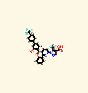 COc1cc(-c2ccc(C(F)(F)F)cc2)ccc1COc1ccccc1-c1cccc(-n2ncc(C(=O)O)c2C(F)(F)F)n1